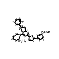 COc1cccc(-c2ccn(-c3cc(N4CCCC[C@H]4C)n4nc(-c5ccncc5)cc4n3)n2)c1